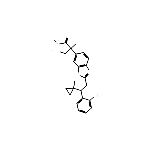 CCNC(=O)C(C)(COC)c1ccc2nc(CC(c3ccccc3Cl)C3(C)CC3)[nH]c2c1